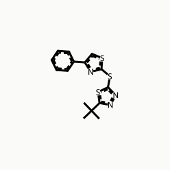 CC(C)(C)c1nnc(Sc2nc(-c3ccccc3)cs2)s1